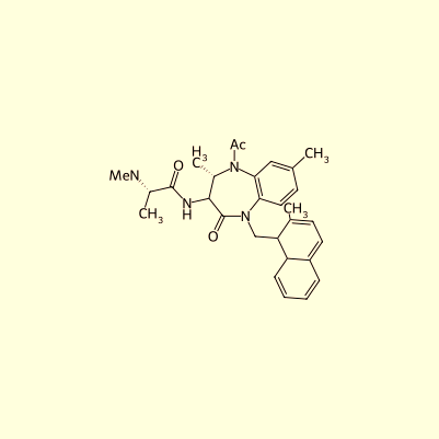 CN[C@@H](C)C(=O)NC1C(=O)N(CC2C(C)=CC=C3C=CC=CC32)c2ccc(C)cc2N(C(C)=O)[C@H]1C